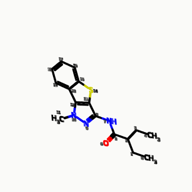 CCC(CC)C(=O)Nc1nn(C)c2c1sc1ccccc12